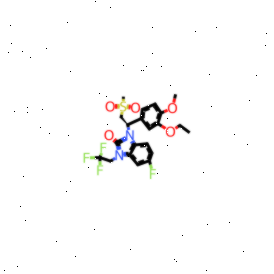 CCOc1cc([C@H](CS(C)(=O)=O)n2c(=O)n(CC(F)(F)F)c3cc(F)ccc32)ccc1OC